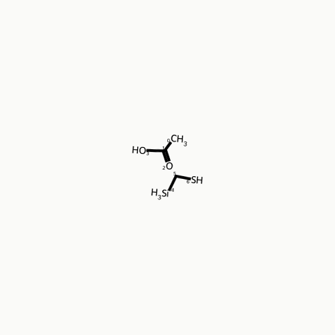 CC(=O)O.[SiH3]CS